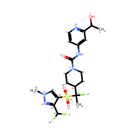 CC(O)c1cc(NC(=O)N2CCC(C(C)(F)S(=O)(=O)c3cn(C)nc3C(F)F)CC2)ccn1